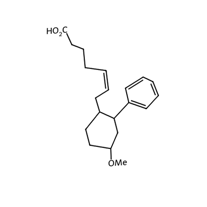 COC1CCC(C/C=C\CCCC(=O)O)C(c2ccccc2)C1